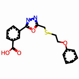 O=C(O)c1cccc(-c2nnc(CSCCOc3ccccc3)o2)c1